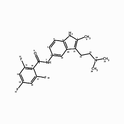 Cc1[nH]c2ccc(NC(=O)c3c(F)cc(F)cc3F)cc2c1CCN(C)C